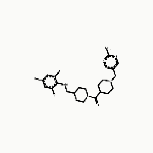 Nc1ncc(CN2CCC(C(=O)N3CCC(CNc4c(F)cc(F)cc4F)CC3)CC2)cn1